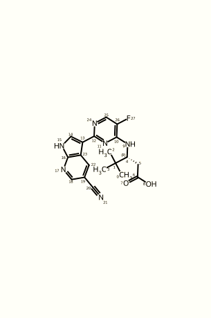 CC(C)(C)[C@@H](CC(=O)O)Nc1nc(-c2c[nH]c3ncc(C#N)cc23)ncc1F